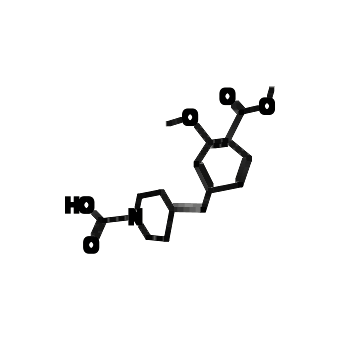 COC(=O)c1ccc(C=C2CCN(C(=O)O)CC2)cc1OC